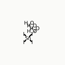 O.O.O.O.[I][Sn]([I])([I])[I]